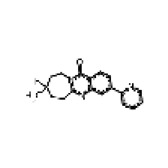 CC1(F)CCc2nc3cc(-c4ccccn4)ccc3c(=O)n2CC1